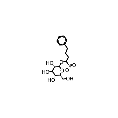 O=[N+]([O-])C(CCCc1ccccc1)O[C@H]1O[C@@H](CO)[C@H](O)[C@@H](O)[C@@H]1O